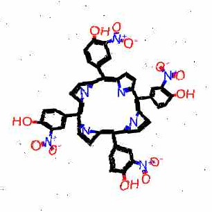 O=[N+]([O-])c1cc(C2=C3C=CC(=N3)C(c3ccc(O)c([N+](=O)[O-])c3)=C3C=CC(=N3)C(c3ccc(O)c([N+](=O)[O-])c3)=C3C=CC(=N3)C(c3ccc(O)c([N+](=O)[O-])c3)=C3C=CC2=N3)ccc1O